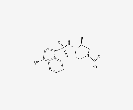 CCCC(=O)N1CC[C@H](NS(=O)(=O)c2ccc(N)c3ccccc23)[C@@H](C)C1